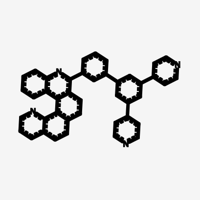 c1cc(-c2cc(-c3ccncc3)cc(-c3ccncc3)c2)cc(-c2nc3ccccc3c3c2ccc2ccc4cccnc4c23)c1